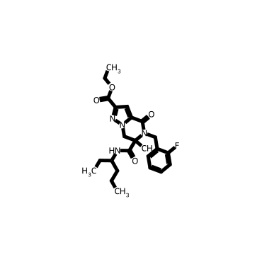 CCCC(CC)NC(=O)C1(C)Cn2nc(C(=O)OCC)cc2C(=O)N1Cc1ccccc1F